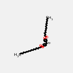 CCCCCCCCCCCCCCCCCC(=O)Oc1cc[c]([Sn][c]2ccc(OC(=O)CCCCCCCCCCCCCCCCC)cc2)cc1